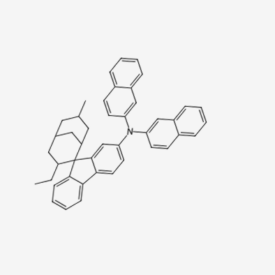 CCC1CC2CC(C)CC(C2)C12c1ccccc1-c1ccc(N(c3ccc4ccccc4c3)c3ccc4ccccc4c3)cc12